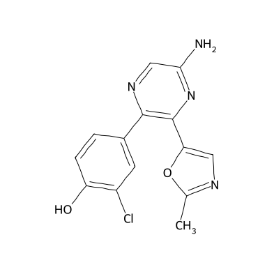 Cc1ncc(-c2nc(N)cnc2-c2ccc(O)c(Cl)c2)o1